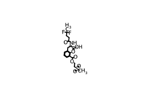 CC(F)(F)CCC(=O)N[C@H]1Cc2cccc(C(=O)OCCS(C)(=O)=O)c2OB1O